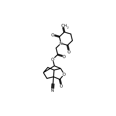 C=C1CCC(=O)N(CC(=O)OC2C3CC4C2OC(=O)C4(C#N)C3)C1=O